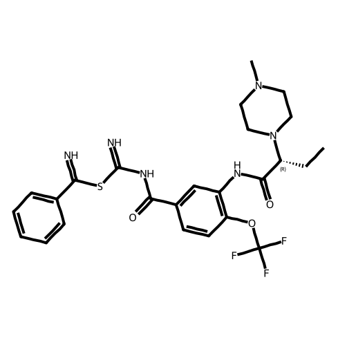 CC[C@H](C(=O)Nc1cc(C(=O)NC(=N)SC(=N)c2ccccc2)ccc1OC(F)(F)F)N1CCN(C)CC1